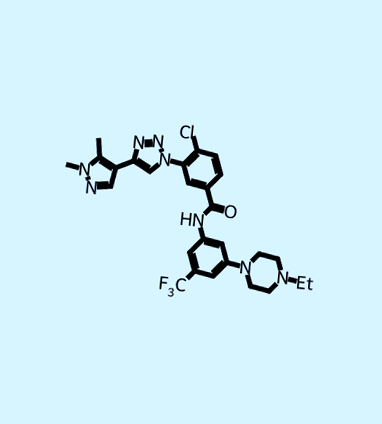 CCN1CCN(c2cc(NC(=O)c3ccc(Cl)c(-n4cc(-c5cnn(C)c5C)nn4)c3)cc(C(F)(F)F)c2)CC1